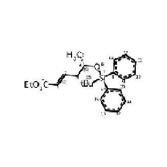 CCOC(=O)/C=C/C[C@H](C)O[Si](c1ccccc1)(c1ccccc1)C(C)(C)C